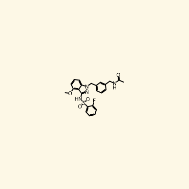 COc1cccc2c1c(NS(=O)(=O)c1ccccc1F)nn2Cc1cccc(CNC(C)=O)c1